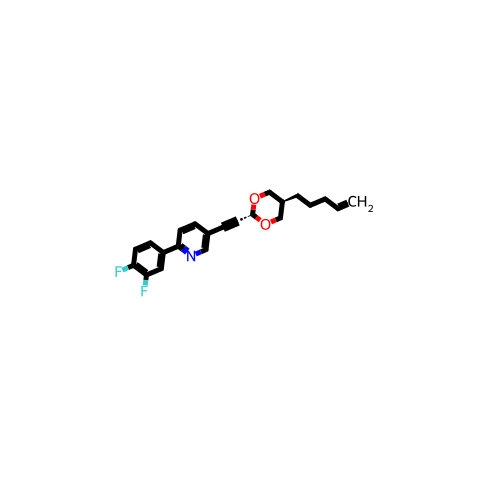 C=CCCC[C@H]1CO[C@H](C#Cc2ccc(-c3ccc(F)c(F)c3)nc2)OC1